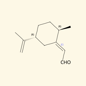 C=C(C)[C@@H]1CC[C@@H](C)/C(=C/C=O)C1